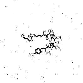 CC(NC(=O)C(N)Cc1ccc(O)cc1)C(=O)NC(C)C(=O)NC(C)C(=O)NCCCNc1ncc(C=O)s1